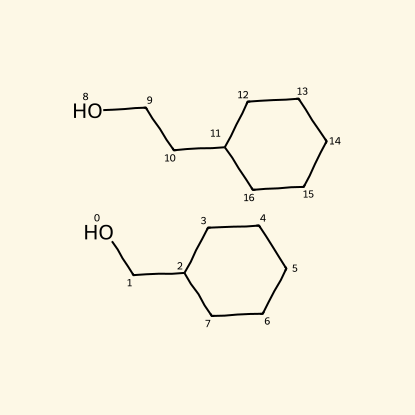 OCC1CCCCC1.OCCC1CCCCC1